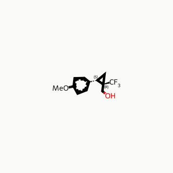 COc1ccc([C@@H]2C[C@@]2(CO)C(F)(F)F)cc1